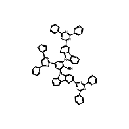 N#Cc1c(-n2c3ccccc3c3cc(-c4nc(-c5ccccc5)nc(-c5ccccc5)n4)ccc32)cc(-c2nc(-c3ccccc3)cc(-c3ccccc3)n2)cc1-n1c2ccccc2c2cc(-c3nc(-c4ccccc4)nc(-c4ccccc4)n3)ccc21